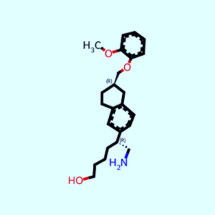 COc1ccccc1OC[C@@H]1CCc2cc([C@H](CN)CCCCO)ccc2C1